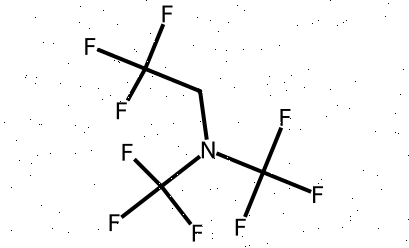 FC(F)(F)CN(C(F)(F)F)C(F)(F)F